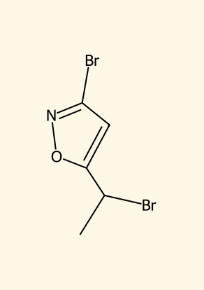 CC(Br)c1cc(Br)no1